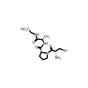 C[C@H](NC(=O)[C@@H]1CCCN1C(=O)[C@@H](N)CS)C(=O)NCC(=O)O